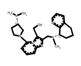 CN(C)[C@H]1CCN(c2cccc3nc(CN(C)[C@H]4CCCc5cccnc54)c(CO)n23)C1